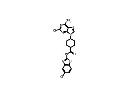 Nc1nc(Cl)nc2c1ncn2C1CCC(C(=O)Nc2nc3cc(Cl)ccc3o2)CC1